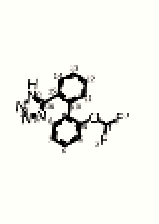 FC(F)Oc1ccccc1-c1ccccc1-c1nnn[nH]1